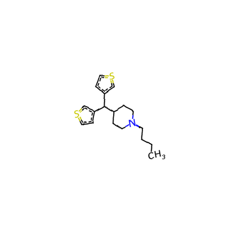 CCCCN1CCC(C(c2ccsc2)c2ccsc2)CC1